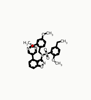 CCc1ccc(OC)c(S(=O)(=O)N(Cc2ccc(OC)cc2OC)c2noc3cccc(-c4cncnc4)c23)c1